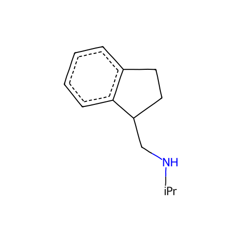 CC(C)NCC1CCc2ccccc21